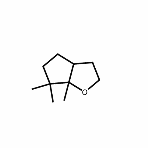 CC1(C)CCC2CCOC21C